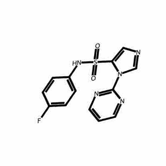 O=S(=O)(Nc1ccc(F)cc1)c1cncn1-c1ncccn1